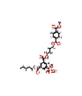 CCCCCOC(=O)c1cc(C(=O)OCCCCOC(=O)c2ccc(C(=O)OC)cc2)cc(S(=O)(=O)O)c1